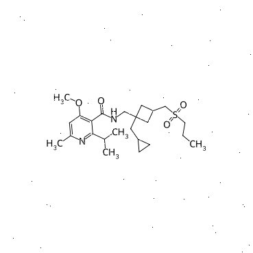 CCCS(=O)(=O)CC1CC(CNC(=O)c2c(OC)cc(C)nc2C(C)C)(CC2CC2)C1